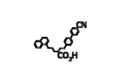 N#Cc1ccc(-c2ccc(CCC(CCCc3cccc4ccccc34)C(=O)O)cc2)cc1